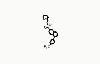 O=C(NCCc1ccccn1)c1ccc2c(-c3ccc(C(F)(F)F)cc3)cccc2c1